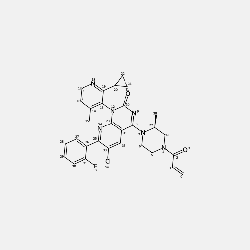 C=CC(=O)N1CCN(c2nc(=O)n(-c3c(C)ccnc3C3CC3)c3nc(-c4ccccc4F)c(Cl)cc23)[C@@H](C)C1